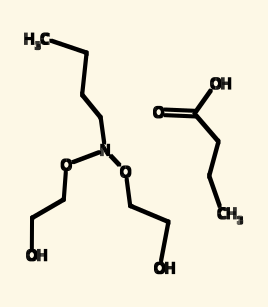 CCCC(=O)O.CCCCN(OCCO)OCCO